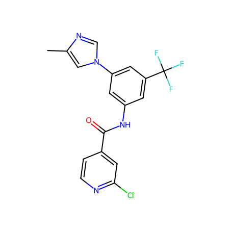 Cc1cn(-c2cc(NC(=O)c3ccnc(Cl)c3)cc(C(F)(F)F)c2)cn1